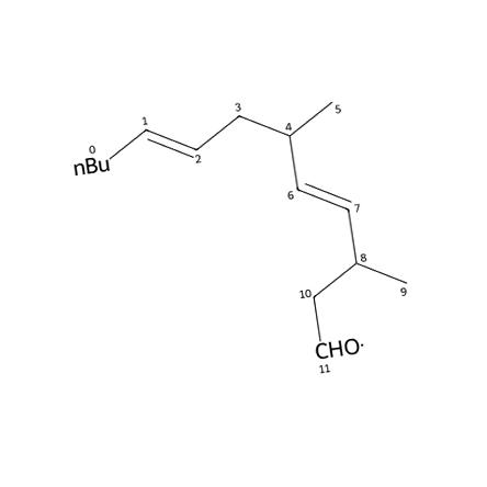 CCCCC=CCC(C)C=CC(C)C[C]=O